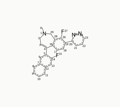 CN1CC=C(c2cc3ccccc3cc2F)c2ccc(-c3cccnn3)c(F)c2C1